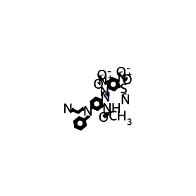 CC(=O)Nc1cc(N(CCC#N)Cc2ccccc2)ccc1/N=N/c1cc(SC#N)c([N+](=O)[O-])cc1[N+](=O)[O-]